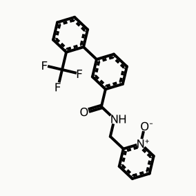 O=C(NCc1cccc[n+]1[O-])c1cccc(-c2ccccc2C(F)(F)F)c1